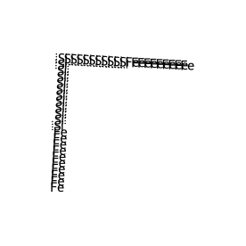 [Fe].[Fe].[Fe].[Fe].[Fe].[Fe].[Fe].[Fe].[Fe].[Fe].[Fe].[Fe].[Fe].[Fe].[Fe].[Fe].[Fe].[Fe].[Fe].[Fe].[Si].[Si].[Si].[Si].[Si].[Si].[Si].[Si].[Si].[Si].[Si].[Si].[Si].[Si].[Si].[Si].[Si].[Si].[Si].[Si].[Si].[Si]